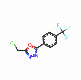 FC(F)(F)c1ccc(-c2nnc(CCl)o2)cc1